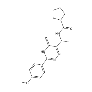 COc1ccc(-c2nnc(C(C)NC(=O)C3CCCC3)c(=O)[nH]2)cc1